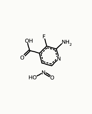 Nc1nccc(C(=O)O)c1F.O=NO